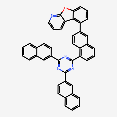 c1ccc2cc(-c3nc(-c4ccc5ccccc5c4)nc(-c4cccc5cc(-c6cccc7oc8ncccc8c67)ccc45)n3)ccc2c1